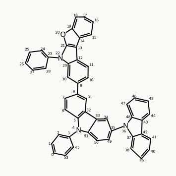 c1ccc(-n2c3ccc(-c4ccc5c6c7ccccc7oc6n(-c6ccccc6)c5c4)cc3c3cc(-n4c5ccccc5c5ccccc54)ccc32)cc1